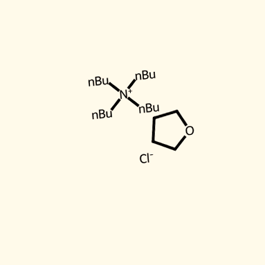 C1CCOC1.CCCC[N+](CCCC)(CCCC)CCCC.[Cl-]